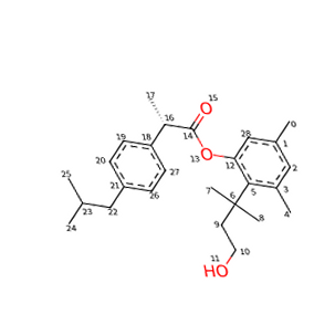 Cc1cc(C)c(C(C)(C)CCO)c(OC(=O)[C@@H](C)c2ccc(CC(C)C)cc2)c1